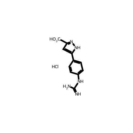 Cl.N=C(N)Nc1ccc(-c2cc(C(=O)O)n[nH]2)cc1